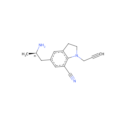 C#CCN1CCc2cc(C[C@@H](C)N)cc(C#N)c21